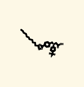 CCCCCCCCCCCc1noc(-c2ccc(CN(CC(=O)O)c3ccc(C(F)(F)F)cc3)cc2)n1